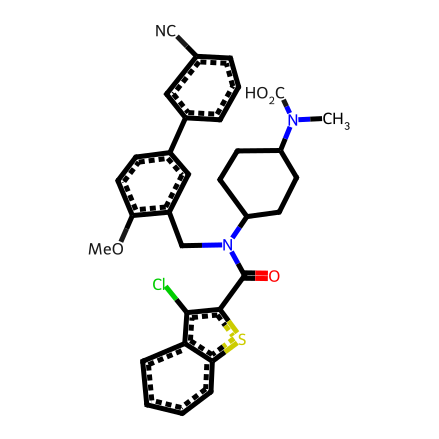 COc1ccc(-c2cccc(C#N)c2)cc1CN(C(=O)c1sc2ccccc2c1Cl)C1CCC(N(C)C(=O)O)CC1